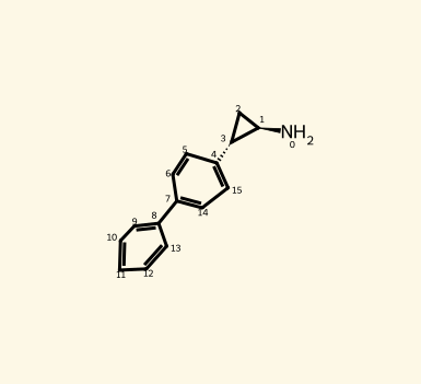 N[C@@H]1C[C@H]1c1ccc(-c2ccccc2)cc1